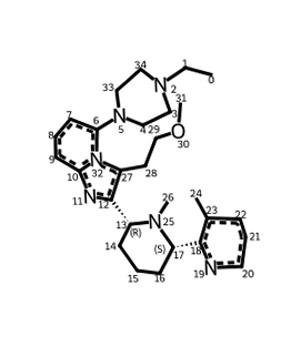 CCN1CCN(c2cccc3nc([C@H]4CCC[C@@H](c5ncccc5C)N4C)c(CCOC)n23)CC1